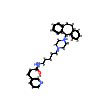 O=C(/C=C\c1cccnc1)NCCCCCN1CCN(C2c3ccccc3CCc3ccccc32)CC1